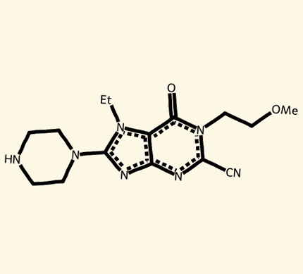 CCn1c(N2CCNCC2)nc2nc(C#N)n(CCOC)c(=O)c21